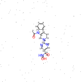 CC(=O)n1c2c(c3ccccc31)CCN(c1ncc(C(=O)NO)cn1)C2